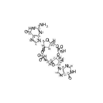 Nc1nc2c(ncn2[C@@H]2O[C@@H]3CO[P@@](=O)(S)O[C@H]4[C@@H](F)[C@H](n5cnc6c(=O)[nH]cnc65)O[C@@H]4CNS(=O)(=O)O[C@@H]2C3)c(=O)[nH]1